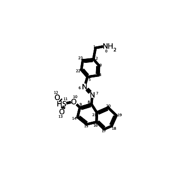 NCc1ccc(N=Nc2c(O[SH](=O)=O)ccc3ccccc23)cc1